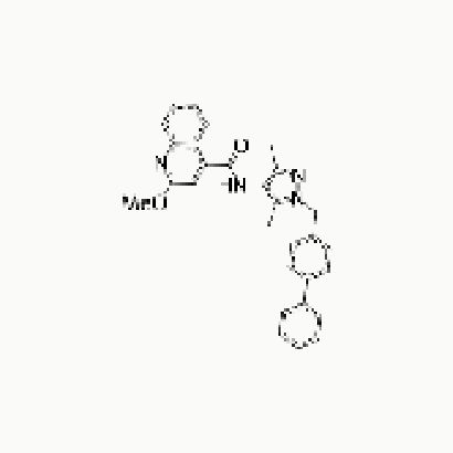 COc1cc(C(=O)Nc2c(C)nn(Cc3ccc(-c4ccccc4)cc3)c2C)c2ccccc2n1